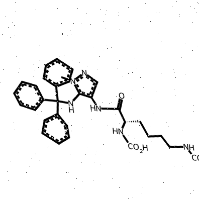 Cn1ncc(NC(=O)[C@H](CCCCNC(=O)O)NC(=O)O)c1NC(c1ccccc1)(c1ccccc1)c1ccccc1